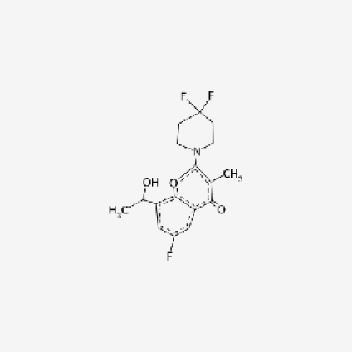 Cc1c(N2CCC(F)(F)CC2)oc2c(C(C)O)cc(F)cc2c1=O